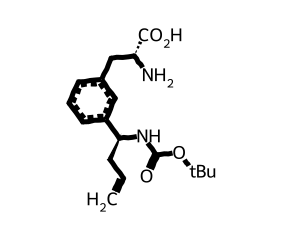 C=CC[C@H](NC(=O)OC(C)(C)C)c1cccc(C[C@@H](N)C(=O)O)c1